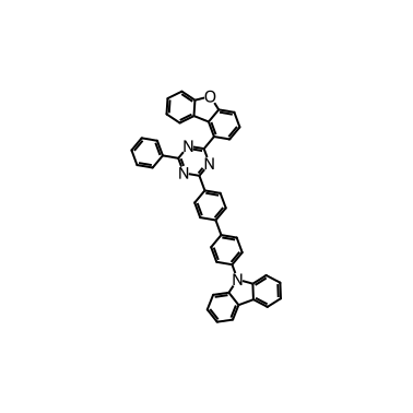 c1ccc(-c2nc(-c3ccc(-c4ccc(-n5c6ccccc6c6ccccc65)cc4)cc3)nc(-c3cccc4oc5ccccc5c34)n2)cc1